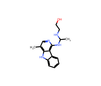 Cc1cnc(NC(C)NCCO)c2c1[nH]c1ccccc12